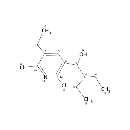 CCc1cc(C(O)C(CC)CC)c(Cl)nc1Cl